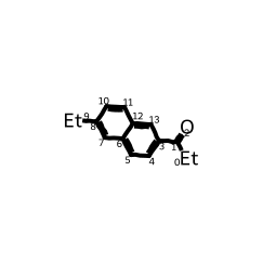 CCC(=O)c1ccc2cc(CC)ccc2c1